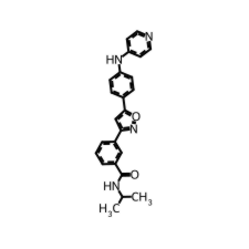 CC(C)NC(=O)c1cccc(-c2cc(-c3ccc(Nc4ccncc4)cc3)on2)c1